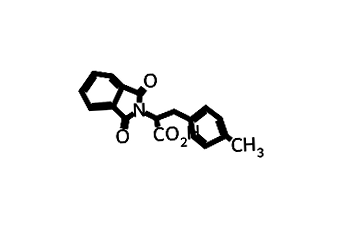 Cc1ccc(CC(C(=O)O)N2C(=O)c3ccccc3C2=O)cc1